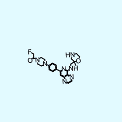 CC1(CNc2nc(-c3ccc(N4CCN(C(=O)CF)CC4)cc3)cc3nccnc23)CNCCO1